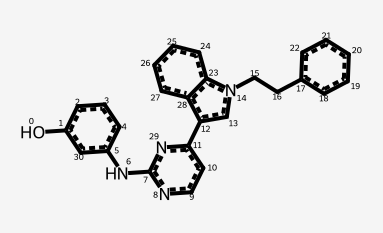 Oc1cccc(Nc2nccc(-c3cn(CCc4ccccc4)c4ccccc34)n2)c1